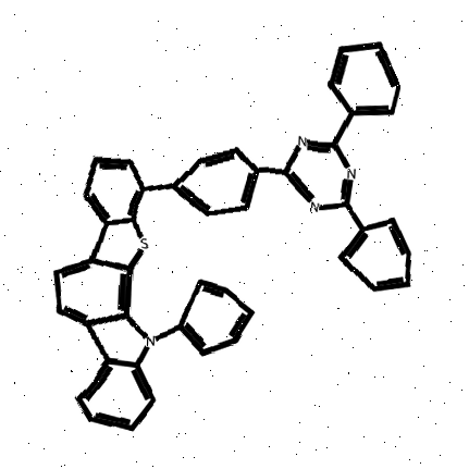 c1ccc(-c2nc(-c3ccccc3)nc(-c3ccc(-c4cccc5c4sc4c5ccc5c6ccccc6n(-c6ccccc6)c54)cc3)n2)cc1